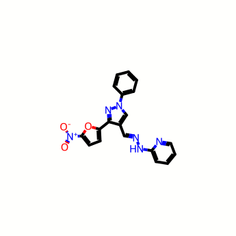 O=[N+]([O-])c1ccc(-c2nn(-c3ccccc3)cc2/C=N/Nc2ccccn2)o1